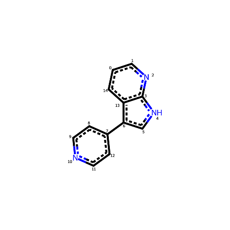 c1cnc2[nH]cc(-c3ccncc3)c2c1